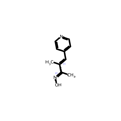 CC(=C\c1ccncc1)/C(C)=N/O